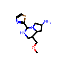 COCC1CNC(c2nccs2)N2C[C@@H](N)CC12